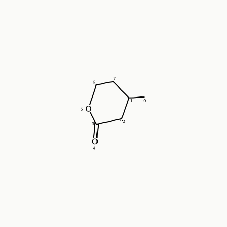 CC1[C]C(=O)OCC1